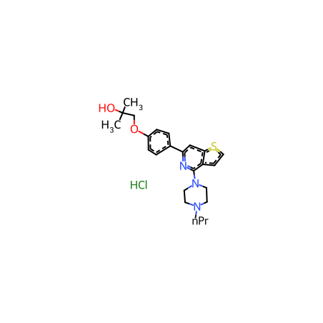 CCCN1CCN(c2nc(-c3ccc(OCC(C)(C)O)cc3)cc3sccc23)CC1.Cl